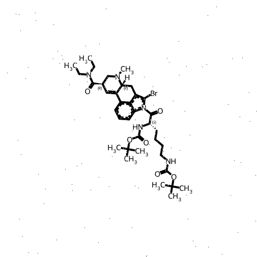 CCN(CC)C(=O)[C@@H]1C=C2c3cccc4c3c(c(Br)n4C(=O)[C@H](CCCCNC(=O)OC(C)(C)C)NC(=O)OC(C)(C)C)C[C@H]2N(C)C1